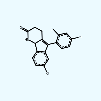 O=C1CCC2=C(c3ccc(Cl)cc3Cl)c3cc(Cl)ccc3C2N1